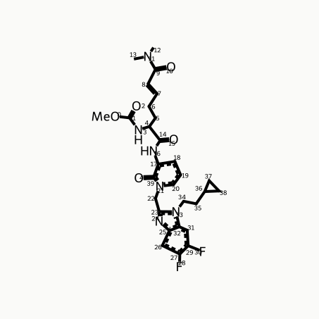 COC(=O)NC(CC/C=C/C(=O)N(C)C)C(=O)Nc1cccn(Cc2nc3cc(F)c(F)cc3n2CCC2CC2)c1=O